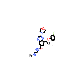 CC(C)NCCNC(=O)c1cc(C(C)Oc2cccc(F)c2)c2nc(N3CCOCC3)cnc2c1